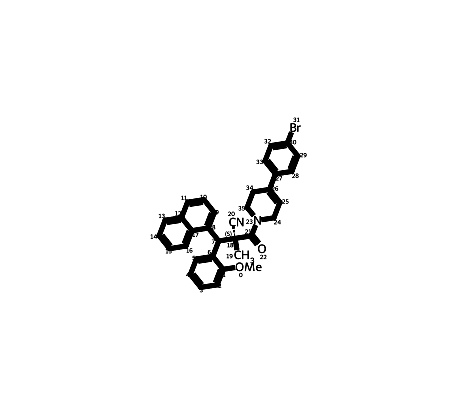 COc1ccccc1C(c1cccc2ccccc12)[C@@](C)(C#N)C(=O)N1CC=C(c2ccc(Br)cc2)CC1